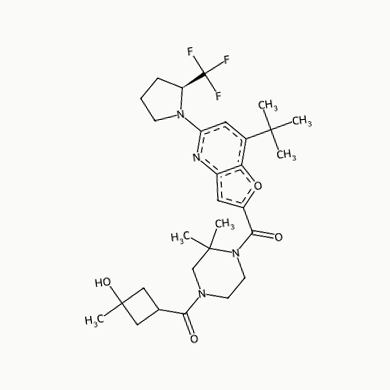 CC1(O)CC(C(=O)N2CCN(C(=O)c3cc4nc(N5CCC[C@H]5C(F)(F)F)cc(C(C)(C)C)c4o3)C(C)(C)C2)C1